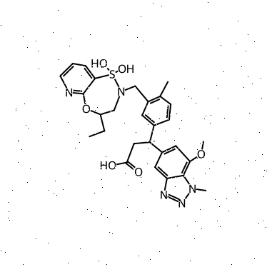 CCC1CN(Cc2cc(C(CC(=O)O)c3cc(OC)c4c(c3)nnn4C)ccc2C)S(O)(O)c2cccnc2O1